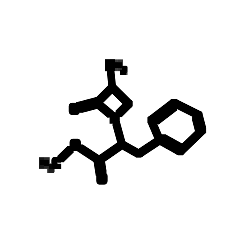 COC(=O)C(Cc1ccccc1)N1CC(N)C1=O